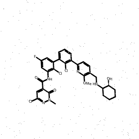 COc1nc(-c2cccc(-c3cc(F)cc(NC(=O)c4cc(Cl)nn(C)c4=O)c3Cl)c2Cl)ccc1CNC1CCCC[C@@H]1O